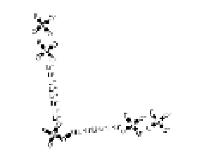 CCO[Si]([O-])([O-])F.[Li+].[Li+].[Li+].[Li+].[Li+].[Li+].[Li+].[Li+].[Li+].[Li+].[Li+].[Li+].[Li+].[Li+].[O-][Si]([O-])([O-])F.[O-][Si]([O-])([O-])F.[O-][Si]([O-])([O-])F.[O-][Si]([O-])([O-])F